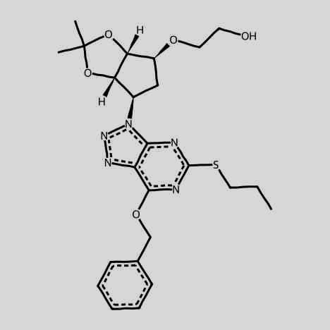 CCCSc1nc(OCc2ccccc2)c2nnn([C@@H]3C[C@H](OCCO)[C@H]4OC(C)(C)O[C@H]43)c2n1